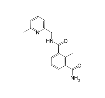 Cc1cccc(CNC(=O)c2cccc(C(N)=O)c2C)n1